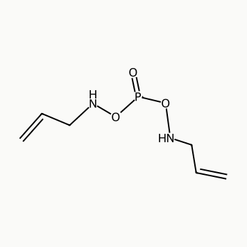 C=CCNO[P](=O)ONCC=C